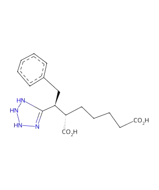 O=C(O)CCCC[C@H](C(=O)O)[C@H](Cc1ccccc1)C1=NNNN1